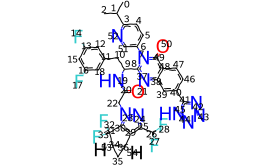 CC(C)c1ccc(-n2c(C(Cc3cc(F)cc(F)c3)NC(=O)Cn3nc(C(F)F)c4c3C(F)(F)[C@@H]3C[C@H]43)nc3cc(-c4nnn[nH]4)ccc3c2=O)cn1